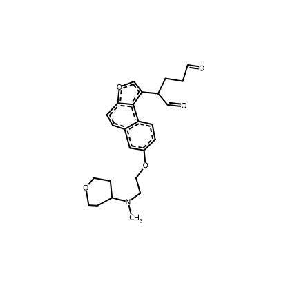 CN(CCOc1ccc2c(ccc3occ(C(C=O)CCC=O)c32)c1)C1CCOCC1